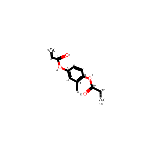 CC(=O)CC(=O)Oc1ccc(OC(=O)CC(C)=O)c(C)c1